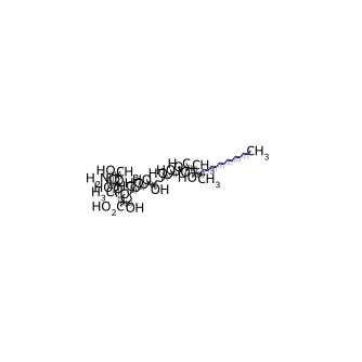 C/C=C/C=C/C=C/C=C/C=C/C=C/[C@H](C)[C@@H](O)[C@@H](C)[C@H](C)OC(=O)C[C@H](O)C[C@H](O)CC[C@@H](O)[C@H](O)C[C@H](O)C[C@H](O)C1C[C@H](O)[C@@H](C(=O)O)[C@H](C[C@H](C)O[C@@H]2O[C@H](C)[C@@H](O)[C@H](N)[C@@H]2O)O1